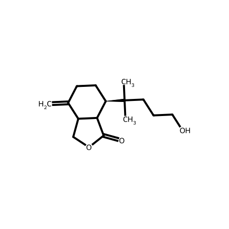 C=C1CC[C@@H](C(C)(C)CCCO)C2C(=O)OCC12